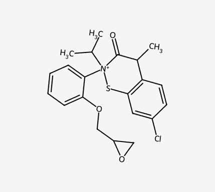 CC1C(=O)[N+](c2ccccc2OCC2CO2)(C(C)C)Sc2cc(Cl)ccc21